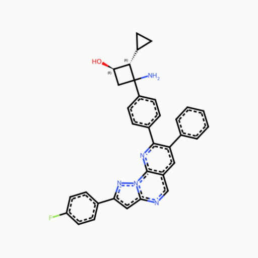 NC1(c2ccc(-c3nc4c(cnc5cc(-c6ccc(F)cc6)nn54)cc3-c3ccccc3)cc2)C[C@@H](O)[C@@H]1C1CC1